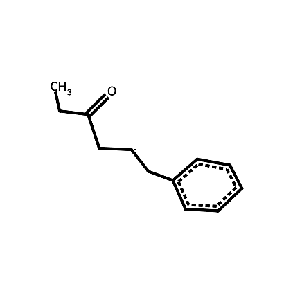 CCC(=O)C[CH]Cc1ccccc1